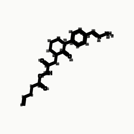 C=CCCC(=O)ONC(=O)CC1CCCN(c2ccc(C=NN)cc2)C1=O